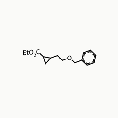 CCOC(=O)C1CC1CCOCc1ccccc1